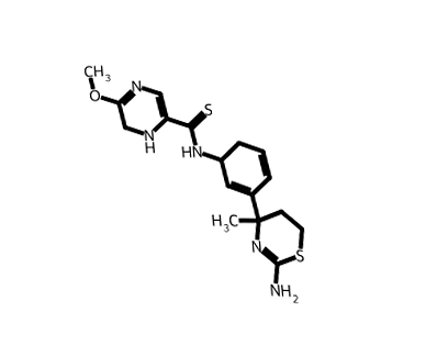 COC1=NC=C(C(=S)NC2C=C(C3(C)CCSC(N)=N3)C=CC2)NC1